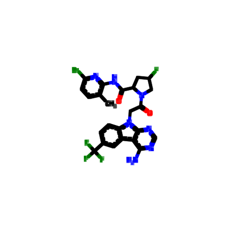 Cc1ccc(Br)nc1NC(=O)C1CC(F)CN1C(=O)Cn1c2ccc(C(F)(F)F)cc2c2c(N)ncnc21